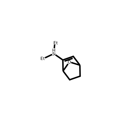 CC[SiH](CC)C1=CC2CCC1O2